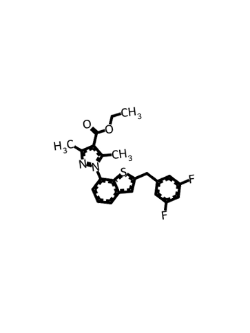 CCOC(=O)c1c(C)nn(-c2cccc3cc(Cc4cc(F)cc(F)c4)sc23)c1C